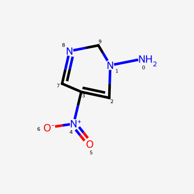 NN1C=C([N+](=O)[O-])C=NC1